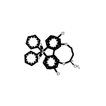 C[C@@H]1CCOc2c(Cl)ccc(P(=O)(c3ccccc3)c3ccccc3)c2-c2c(P(=O)(c3ccccc3)c3ccccc3)ccc(Cl)c2O1